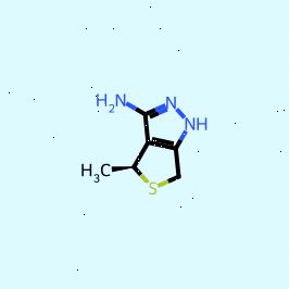 C[C@@H]1SCc2[nH]nc(N)c21